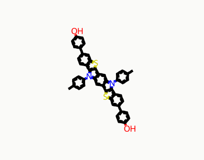 Cc1ccc(-n2c3cc4c5sc6cc(-c7ccc(O)cc7)ccc6c5n(-c5ccc(C)cc5)c4cc3c3sc4cc(-c5ccc(O)cc5)ccc4c32)cc1